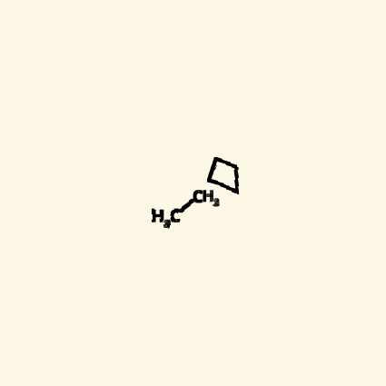 C1CCC1.CC